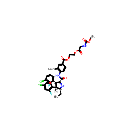 COc1cc(C(=O)OCCOC(=O)CNC(=O)OC(C)(C)C)ccc1NC(=O)[C@@H]1N[C@@H](CC(C)(C)C)[C@](C#N)(c2ccc(Cl)cc2F)[C@H]1c1cccc(Cl)c1F